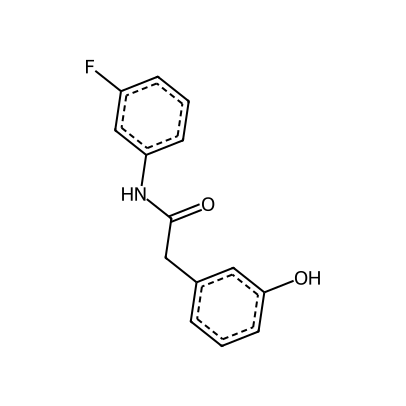 O=C(Cc1cccc(O)c1)Nc1cccc(F)c1